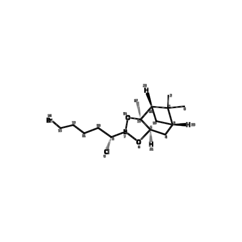 CC1(C)[C@@H]2C[C@H]3OB([C@H](Cl)CCCCBr)O[C@@]3(C)[C@H]1C2